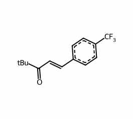 CC(C)(C)C(=O)/C=C/c1ccc(C(F)(F)F)cc1